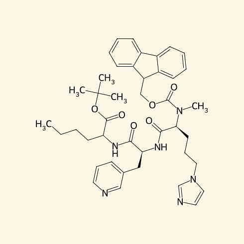 CCCCC(NC(=O)[C@H](Cc1cccnc1)NC(=O)[C@H](CCCn1ccnc1)N(C)C(=O)OCC1c2ccccc2-c2ccccc21)C(=O)OC(C)(C)C